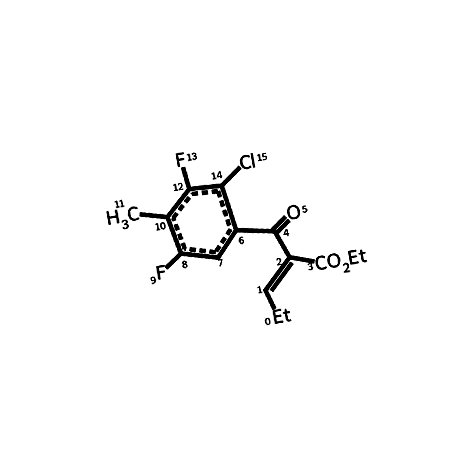 CCC=C(C(=O)OCC)C(=O)c1cc(F)c(C)c(F)c1Cl